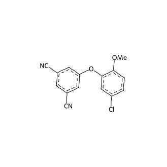 COc1ccc(Cl)cc1Oc1cc(C#N)cc(C#N)c1